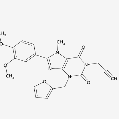 C#CCn1c(=O)c2c(nc(-c3ccc(OC)c(OC)c3)n2C)n(Cc2ccco2)c1=O